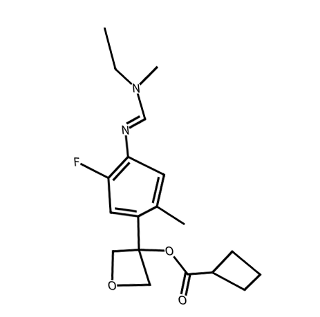 CCN(C)C=Nc1cc(C)c(C2(OC(=O)C3CCC3)COC2)cc1F